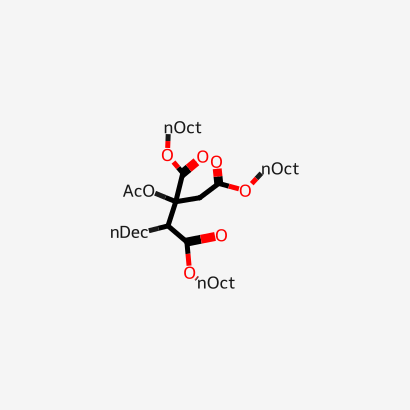 CCCCCCCCCCC(C(=O)OCCCCCCCC)C(CC(=O)OCCCCCCCC)(OC(C)=O)C(=O)OCCCCCCCC